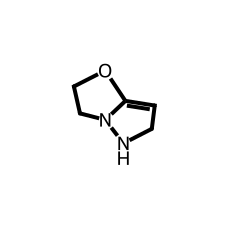 C1=C2OCCN2NC1